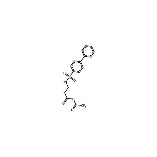 O=C(CCNS(=O)(=O)c1ccc(-c2ccccc2)cc1)OC(=O)C(F)(F)F